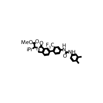 COC(=O)C(C(C)C)N1Cc2ccc(-c3ccc(NC(=O)Nc4ccc(C)c(C)c4)cc3C(F)(F)F)cc2C1=O